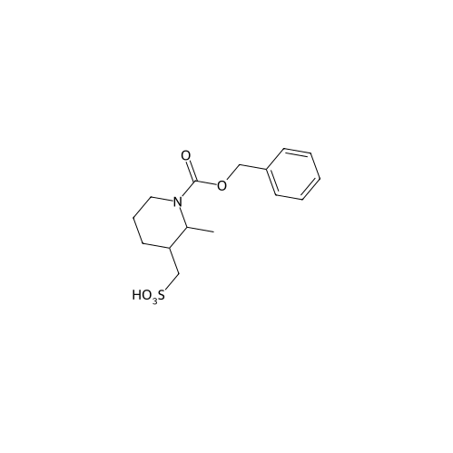 CC1C(CS(=O)(=O)O)CCCN1C(=O)OCc1ccccc1